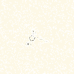 CCCCCCc1cc(N=O)ccc1N=O